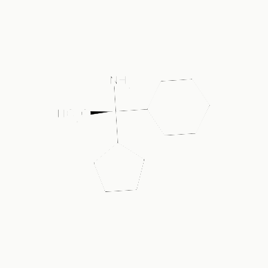 N[C@](C(=O)O)(C1CCCCC1)C1CCCC1